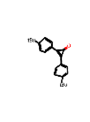 CC(C)(C)c1ccc(-c2c(-c3ccc(C(C)(C)C)cc3)c2=O)cc1